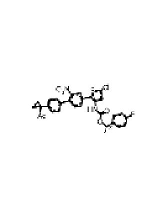 CC(=O)C1(c2ccc(-c3ccc(-c4sc(Cl)cc4NC(=O)O[C@H](C)c4ccc(F)cc4)cc3[N+](=O)[O-])cc2)CC1